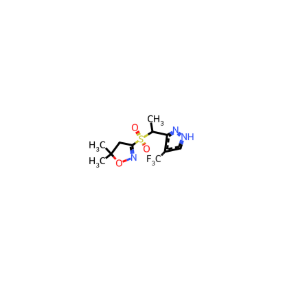 CC(c1n[nH]cc1C(F)(F)F)S(=O)(=O)C1=NOC(C)(C)C1